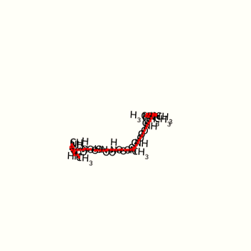 CNCc1ccc2cc3ccc(CNC)cc3[n+](CCCCCC(=O)NCCCOCCOCCOCCCNC(=O)CCCC(=O)NCCCOCCOCCOCCCN(C)C(=O)CCCC(=O)NCCCOCCOCCOCCCNC(=O)CCCCC[n+]3c4cc(N(C)C)ccc4cc4ccc(N(C)C)cc43)c2c1